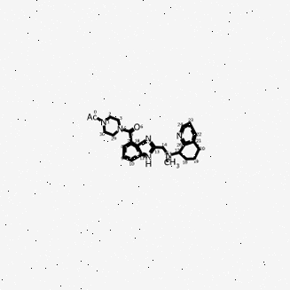 CC(=O)N1CCN(C(=O)c2cccc3[nH]c(CN(C)C4CCCc5cccnc54)nc23)CC1